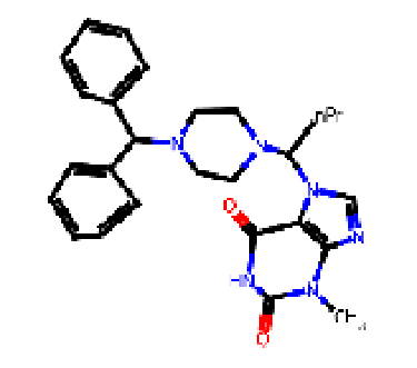 CCCC(N1CCN(C(c2ccccc2)c2ccccc2)CC1)n1cnc2c1c(=O)[nH]c(=O)n2C